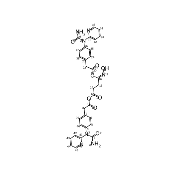 NC(=O)N(c1ccc(CC(=O)OC(=O)CC/C(=N/O)OC(=O)Cc2ccc(N(C(N)=O)c3ccccn3)cc2)cc1)c1ccccn1